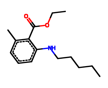 CCCCCNc1cccc(C)c1C(=O)OCC